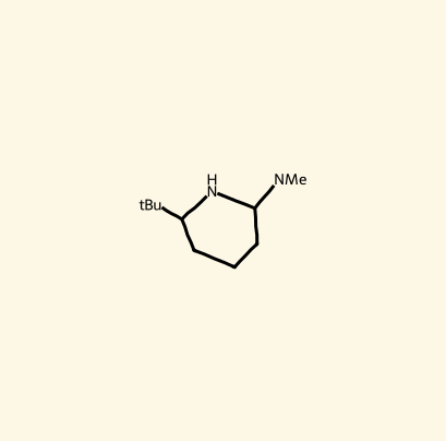 CNC1CCCC(C(C)(C)C)N1